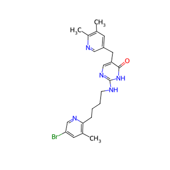 Cc1cc(Cc2cnc(NCCCCc3ncc(Br)cc3C)[nH]c2=O)cnc1C